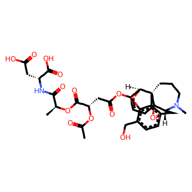 CC(=O)O[C@@H](CC(=O)OC1=CC[C@@]2(O)[C@H]3Cc4ccc(CO)c5c4[C@@]2(CCCN3C)[C@H]1O5)C(=O)O[C@@H](C)C(=O)N[C@H](CC(=O)O)C(=O)O